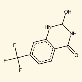 O=C1NC(O)Nc2cc(C(F)(F)F)ccc21